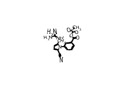 Cc1ccc(C#N)n1-c1cccc(C(=O)OS(C)(=O)=O)c1.N=C(N)N